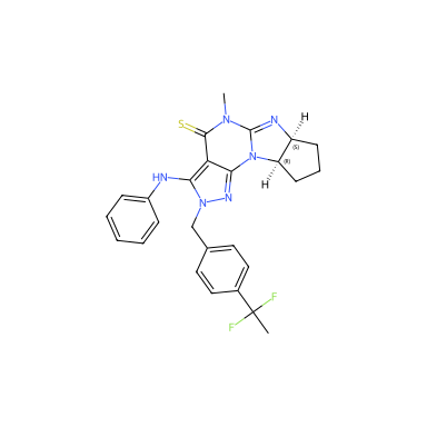 CN1C(=S)c2c(nn(Cc3ccc(C(C)(F)F)cc3)c2Nc2ccccc2)N2C1=N[C@H]1CCC[C@H]12